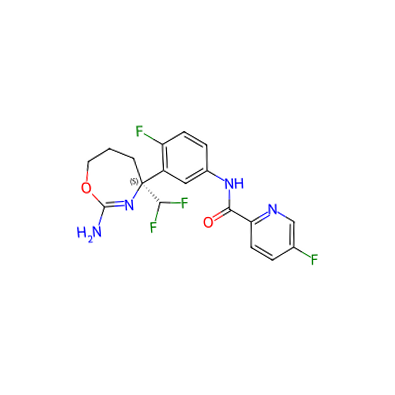 NC1=N[C@@](c2cc(NC(=O)c3ccc(F)cn3)ccc2F)(C(F)F)CCCO1